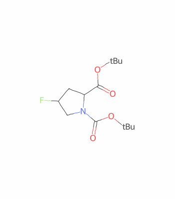 CC(C)(C)OC(=O)C1CC(F)CN1C(=O)OC(C)(C)C